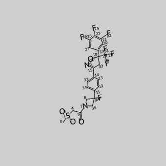 CS(=O)(=O)CC(=O)N1CC(F)(c2ccc(C3=NOC(c4cc(F)c(F)c(F)c4)(C(F)(F)F)C3)cc2)C1